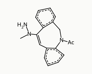 CC(=O)N1Cc2ccccc2/C(N(C)N)=C\c2ccccc21